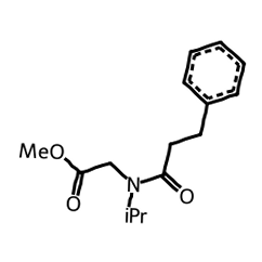 COC(=O)CN(C(=O)CCc1ccccc1)C(C)C